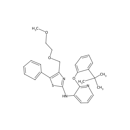 COCCOCc1nc(Nc2cccnc2Oc2ccccc2C(C)(C)C)sc1-c1ccccc1